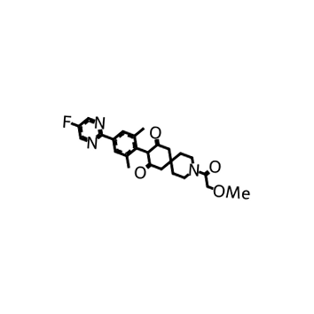 COCC(=O)N1CCC2(CC1)CC(=O)C(c1c(C)cc(-c3ncc(F)cn3)cc1C)C(=O)C2